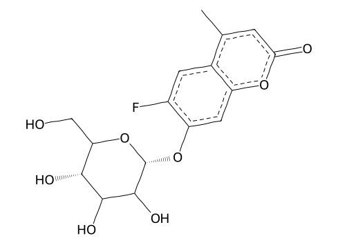 Cc1cc(=O)oc2cc(O[C@H]3OC(CO)[C@@H](O)C(O)C3O)c(F)cc12